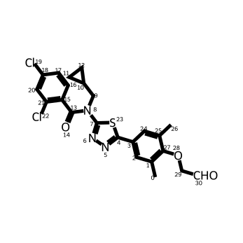 Cc1cc(-c2nnc(N(CC3CC3)C(=O)c3ccc(Cl)cc3Cl)s2)cc(C)c1OCC=O